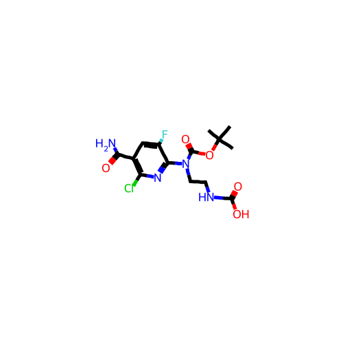 CC(C)(C)OC(=O)N(CCNC(=O)O)c1nc(Cl)c(C(N)=O)cc1F